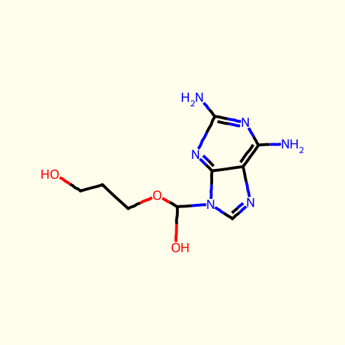 Nc1nc(N)c2ncn(C(O)OCCCO)c2n1